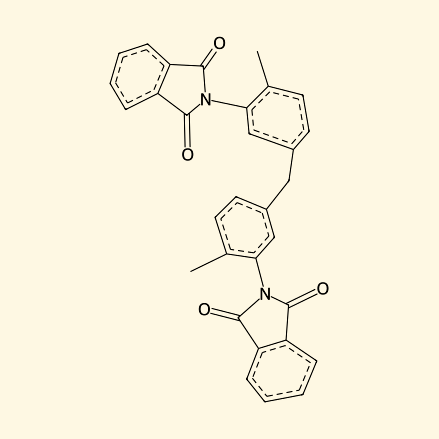 Cc1ccc(Cc2ccc(C)c(N3C(=O)c4ccccc4C3=O)c2)cc1N1C(=O)c2ccccc2C1=O